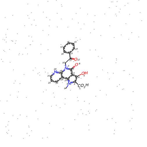 Cn1c(C(=O)O)c(O)c2c(=O)n(CC(=O)c3ccccc3)c3ncccc3c21